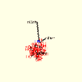 CCCCCCCC/C=C\CCCCCCCCCCCCCC(=O)N[C@@H](CO[C@@H]1OC(CO)[C@@H](O[C@@H]2OC(CO)[C@H](O)[C@H](O[C@H]3OC(CO)[C@H](O)[C@H](O[C@@H]4OC(CO)[C@H](O)[C@H](O[C@@H]5OC(CO)[C@H](O)[C@H](O[C@H]6OC(CO)[C@H](O)[C@H](O)C6O)C5O[C@H]5OC(C)[C@@H](O)C(O)[C@@H]5O)C4NC(C)=O)C3O)C2O)[C@H](O)C1O)[C@H](O)/C=C/CCCCCCCCCCCCC